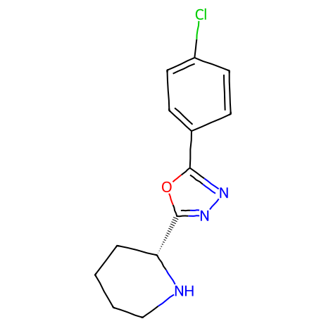 Clc1ccc(-c2nnc([C@H]3CCCCN3)o2)cc1